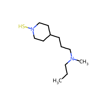 CCCN(C)CCCC1CCN(S)CC1